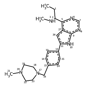 CCC(NC)c1ncnc2[nH]c(-c3ccc(CN4CCN(C)CC4)cc3)cc12